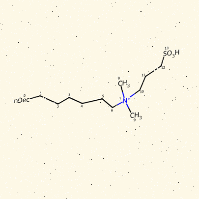 CCCCCCCCCCCCCCCC[N+](C)(C)CCCS(=O)(=O)O